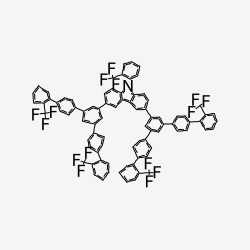 FC(F)(F)c1ccccc1-c1ccc(-c2cc(-c3ccc(-c4ccccc4C(F)(F)F)cc3)cc(-c3ccc4c(c3)c3cc(-c5cc(-c6ccc(-c7ccccc7C(F)(F)F)cc6)cc(-c6ccc(-c7ccccc7C(F)(F)F)cc6)c5)ccc3n4-c3ccccc3C(F)(F)F)c2)cc1